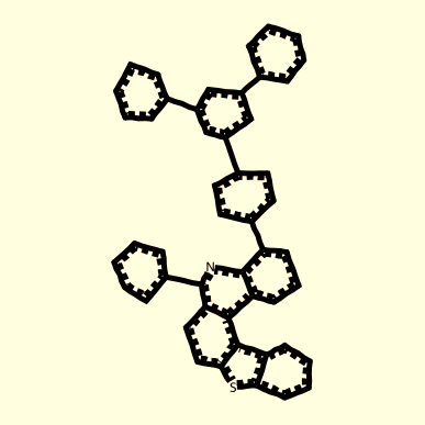 c1ccc(-c2cc(-c3ccccc3)cc(-c3ccc(-c4cccc5c4nc(-c4ccccc4)c4ccc6sc7ccccc7c6c45)cc3)c2)cc1